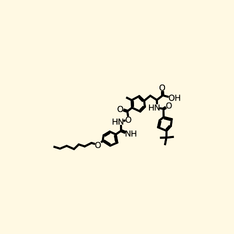 CCCCCCCOc1ccc(C(=N)NOC(=O)c2ccc(CC(NC(=O)c3ccc(C(C)(C)C)cc3)C(=O)O)cc2C)cc1